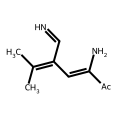 CC(=O)/C(N)=C/C(C=N)=C(C)C